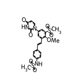 COc1c(/C=C/c2ccc(NS(C)(=O)=O)cc2)cc(-n2ccc(=O)[nH]c2=O)cc1S(C)(=O)=O